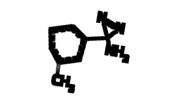 Cc1cccc(C2(N)N=N2)c1